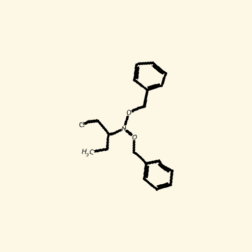 CCC(CCl)N(OCc1ccccc1)OCc1ccccc1